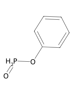 O=[PH2]Oc1ccccc1